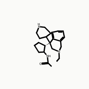 CCN1Cc2ccccc2C(C2CCNCC2)([C@H]2CCCC2NC(C)=O)C1